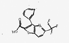 O=C(O)c1sc2ccc(C(F)(F)F)nc2c1-c1ccccc1